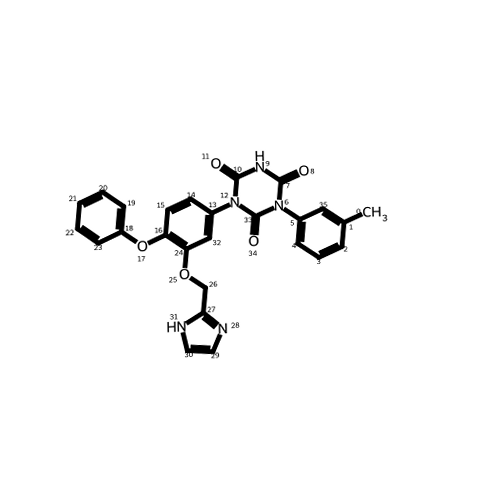 Cc1cccc(-n2c(=O)[nH]c(=O)n(-c3ccc(Oc4ccccc4)c(OCc4ncc[nH]4)c3)c2=O)c1